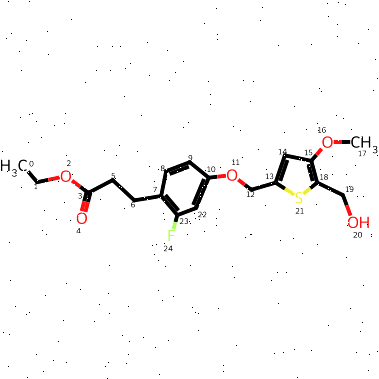 CCOC(=O)CCc1ccc(OCc2cc(OC)c(CO)s2)cc1F